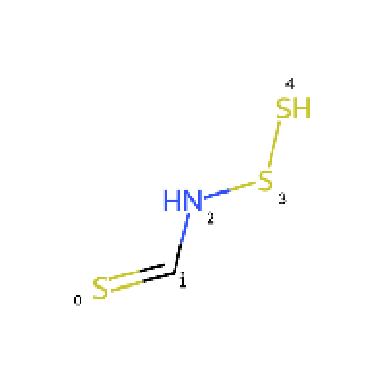 S=[C]NSS